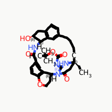 CC[C@@]12CCCCc3ccc4c(c3)[C@@H](NC(=O)c3ccc5c(c3)[C@@H](CCO5)N(C(=O)C1)/C(=N/C(=O)OC(C)(C)C)N2)[C@H](O)C4